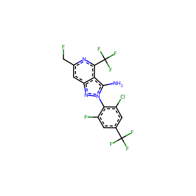 Nc1c2c(C(F)(F)F)nc(CF)cc2nn1-c1c(F)cc(C(F)(F)F)cc1Cl